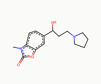 Cn1c(=O)oc2cc(C(O)CCN3CCCC3)ccc21